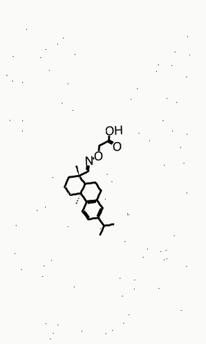 CC(C)c1ccc2c(c1)CCC1[C@@](C)(/C=N/OCC(=O)O)CCC[C@]21C